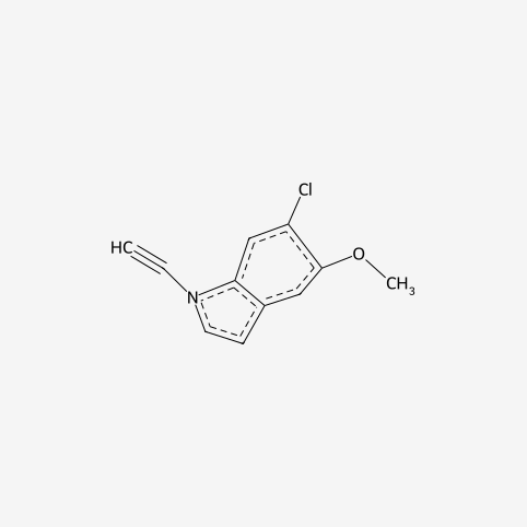 C#Cn1ccc2cc(OC)c(Cl)cc21